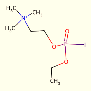 CCOP(=O)(I)OCC[N+](C)(C)C